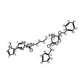 Cn1cccc1-c1cnn(C(=O)NCCCC[C@H](NC(=O)OCc2ccccc2)C(=O)OCc2ccccc2)n1